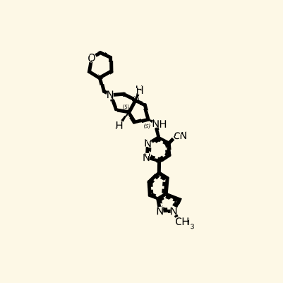 Cn1cc2cc(-c3cc(C#N)c(N[C@H]4C[C@@H]5CN(CC6CCCOC6)C[C@@H]5C4)nn3)ccc2n1